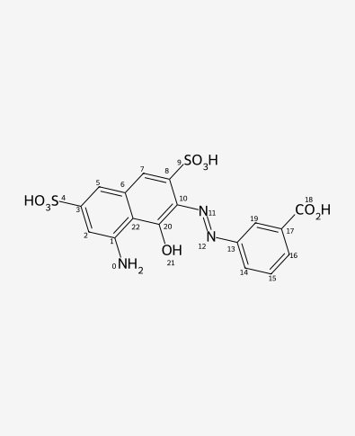 Nc1cc(S(=O)(=O)O)cc2cc(S(=O)(=O)O)c(N=Nc3cccc(C(=O)O)c3)c(O)c12